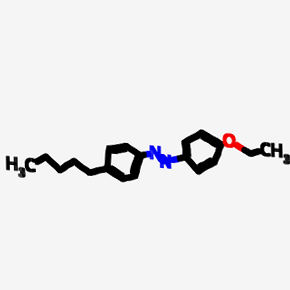 CCCCCc1ccc(/N=N/c2ccc(OCC)cc2)cc1